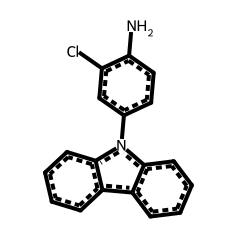 Nc1ccc(-n2c3ccccc3c3ccccc32)cc1Cl